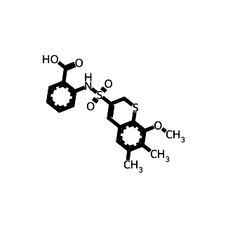 COc1c(C)c(C)cc2c1SCC(S(=O)(=O)Nc1ccccc1C(=O)O)=C2